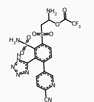 N#Cc1ccc(-c2ccc(S(=O)(=O)CC(N)OC(=O)C(F)(F)F)c(S(N)(=O)=O)c2-c2nnn[nH]2)cn1